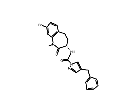 CN1C(=O)[C@@H](NC(=O)n2cc(Cc3cccnc3)cn2)CCc2ccc(Br)cc21